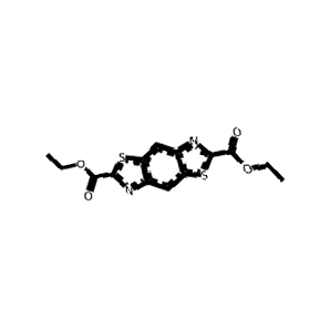 CCOC(=O)c1nc2cc3sc(C(=O)OCC)nc3cc2s1